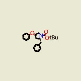 CC(C)(C)OC(=O)N1C[C@H](Oc2ccccc2)C[C@H]1Cc1ccccc1